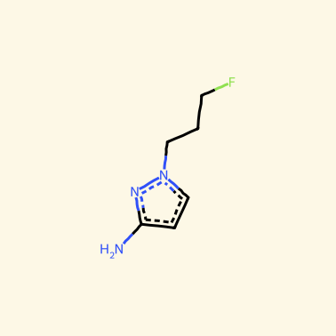 Nc1ccn(CCCF)n1